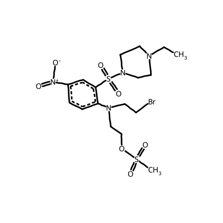 CCN1CCN(S(=O)(=O)c2cc([N+](=O)[O-])ccc2N(CCBr)CCOS(C)(=O)=O)CC1